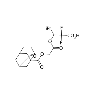 CC(C)C(OC(=O)COC(=O)C12CC3CC(C1)C(=O)C(C3)C2)C(F)(F)C(=O)O